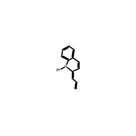 C=C/C=C1\C=Cc2ccccc2N1C(C)C